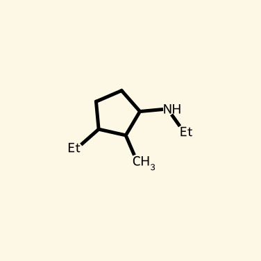 CCNC1CCC(CC)C1C